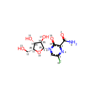 NC(=O)c1nc(F)cn([C@@H]2O[C@H](CO)[C@H](O)[C@H]2O)c1=O